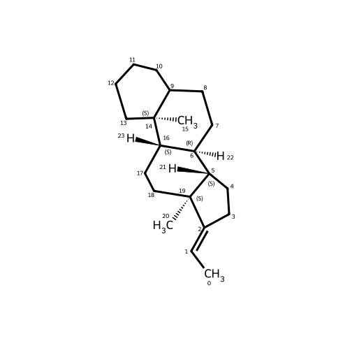 CC=C1CC[C@H]2[C@@H]3CCC4CCCC[C@]4(C)[C@H]3CC[C@]12C